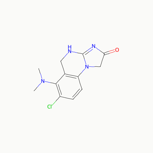 CN(C)c1c(Cl)ccc2c1CNC1=NC(=O)CN12